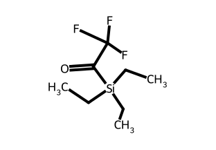 CC[Si](CC)(CC)C(=O)C(F)(F)F